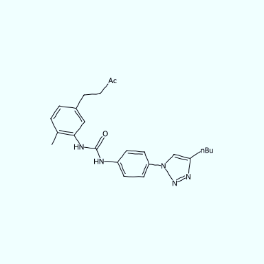 CCCCc1cn(-c2ccc(NC(=O)Nc3cc(CCC(C)=O)ccc3C)cc2)nn1